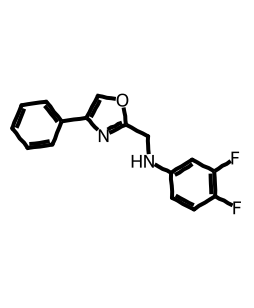 Fc1ccc(NCc2nc(-c3ccccc3)co2)cc1F